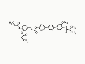 C=CC(=O)Oc1ccc(CCC(=O)Oc2ccc(-c3ccc(-c4ccc(OC(=O)C(=C)C)c(OC)c4)cc3)cc2)cc1OC(=O)C=C